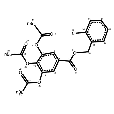 CCCCC(=O)Oc1cc(C(=O)OCc2ccccc2Cl)cc(OC(=O)CCCC)c1OC(=O)CCCC